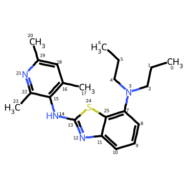 CCCN(CCC)c1cccc2nc(Nc3c(C)cc(C)nc3C)sc12